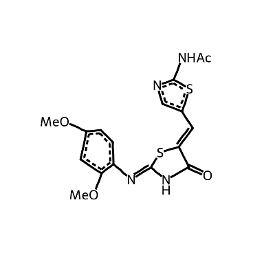 COc1ccc(/N=C2/NC(=O)/C(=C/c3cnc(NC(C)=O)s3)S2)c(OC)c1